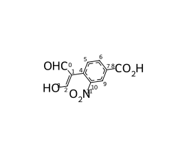 O=C/C(=C\O)c1ccc(C(=O)O)cc1[N+](=O)[O-]